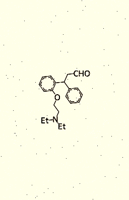 CCN(CC)CCOc1ccccc1C(CC=O)c1ccccc1